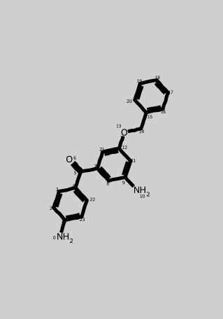 Nc1ccc(C(=O)c2cc(N)cc(OCc3ccccc3)c2)cc1